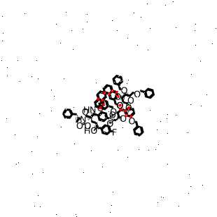 O=C1OC[C@H](Cc2ccccc2)N1C(=O)[C@H](CC[C@H](O)c1ccc(F)cc1)[C@H](Nc1ccccc1)c1ccc(S(=O)(=O)C[C@@H]2OC(COCc3ccccc3)[C@@H](O[C@@H]3OC(COCc4ccccc4)[C@@H](OCc4ccccc4)[C@@H](OCc4ccccc4)C3OCc3ccccc3)[C@@H](OCc3ccccc3)C2OCc2ccccc2)cc1OCc1ccccc1